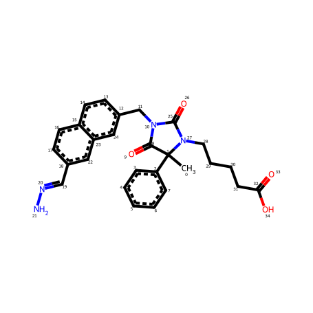 CC1(c2ccccc2)C(=O)N(Cc2ccc3ccc(C=NN)cc3c2)C(=O)N1CCCCC(=O)O